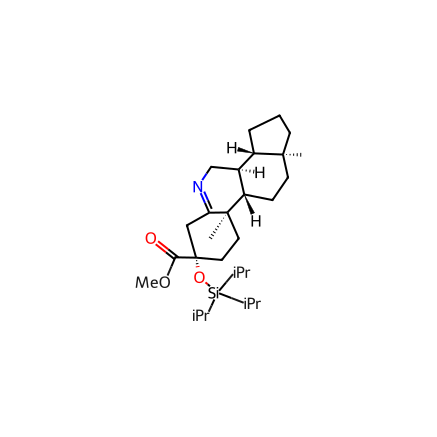 COC(=O)[C@]1(O[Si](C(C)C)(C(C)C)C(C)C)CC[C@@]2(C)C(=NC[C@H]3[C@@H]4CCC[C@@]4(C)CC[C@@H]32)C1